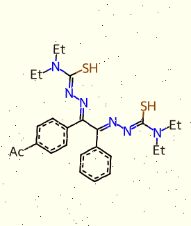 CCN(CC)/C(S)=N/N=C(/C(=N/N=C(\S)N(CC)CC)c1ccc(C(C)=O)cc1)c1ccccc1